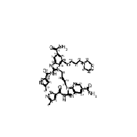 Cc1cc(C(=O)Nc2nc3cc(C(N)=O)cnc3n2CC=CCn2c(NC(=O)c3cc(C)ns3)nc3cc(C(N)=O)cc(OCCCN4CCOCC4)c32)sn1